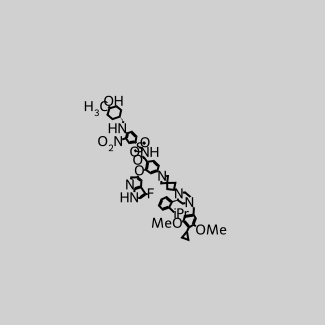 COc1cc(CN2CCN(C3CC4(C3)CN(c3ccc(C(=O)NS(=O)(=O)c5ccc(NC[C@H]6CC[C@](C)(O)CC6)c([N+](=O)[O-])c5)c(Oc5cnc6[nH]cc(F)c6c5)c3)C4)[C@H](c3ccccc3C(C)C)C2)cc(OC)c1C1CC1